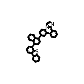 c1ccc2c(c1)sc1c(-c3ccc(-c4ccc5c(c4)c4ccccc4c4nccn54)c4ccccc34)cccc12